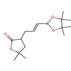 CC1(C)CC(C/C=C/B2OC(C)(C)C(C)(C)O2)C(=O)O1